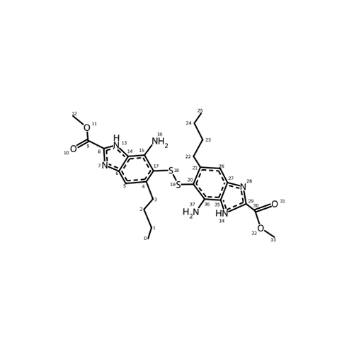 CCCCc1cc2nc(C(=O)OC)[nH]c2c(N)c1SSc1c(CCCC)cc2nc(C(=O)OC)[nH]c2c1N